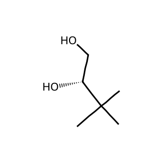 CC(C)(C)[C@H](O)CO